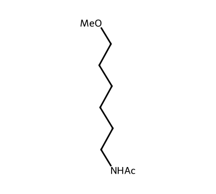 COCCCCCCNC(C)=O